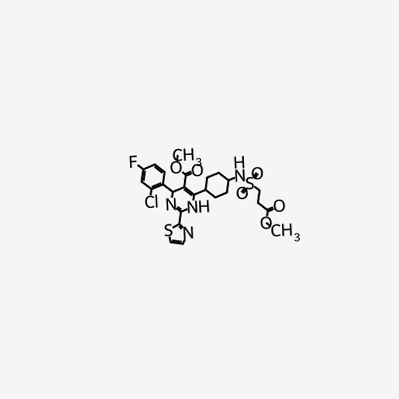 COC(=O)CCS(=O)(=O)NC1CCC(C2=C(C(=O)OC)C(c3ccc(F)cc3Cl)N=C(c3nccs3)N2)CC1